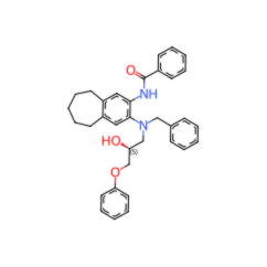 O=C(Nc1cc2c(cc1N(Cc1ccccc1)C[C@H](O)COc1ccccc1)CCCCC2)c1ccccc1